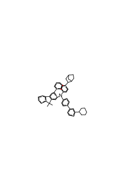 CC1(C)c2ccccc2-c2cc(-c3ccccc3)c(N(c3ccc(-c4cccc(C5CCCCC5)c4)cc3)c3ccc(C4CC5CCC4C5)cc3)cc21